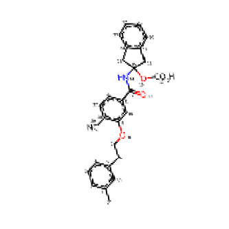 Cc1cccc(CCOc2cc(C(=O)NC3(OC(=O)O)Cc4ccccc4C3)ccc2C#N)c1